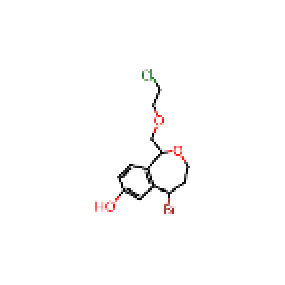 Oc1ccc2c(c1)C(Br)CCOC2COCCCl